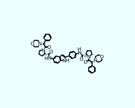 O=C(Nc1ccc(-c2cc3cc(NC(=O)[C@@H]4CCCN4C(=O)[C@@H](c4ccccc4)N4CCOCC4)ccc3[nH]2)cc1)[C@@H]1CCCN1C(=O)[C@@H](c1ccccc1)N1CCOCC1